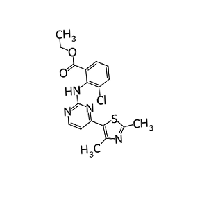 CCOC(=O)c1cccc(Cl)c1Nc1nccc(-c2sc(C)nc2C)n1